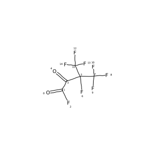 O=C(F)C(=O)C(F)(C(F)(F)F)C(F)(F)F